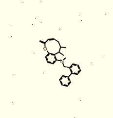 C=C1/C=C\CC(C)C(C)c2c(cccc2N(C)Cc2ccccc2-c2ccccc2)O1